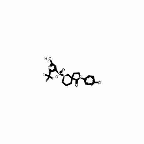 Cc1cc(S(=O)(=O)N2CCCC3(CCN(c4ccc(Cl)cc4)C3=O)C2)c(C(F)(F)F)o1